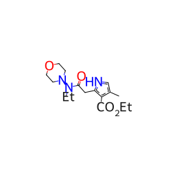 CCOC(=O)c1c(C)c[nH]c1CC(=O)N(CC)N1CCOCC1